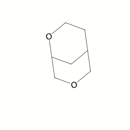 C1CC2COCC(C2)O1